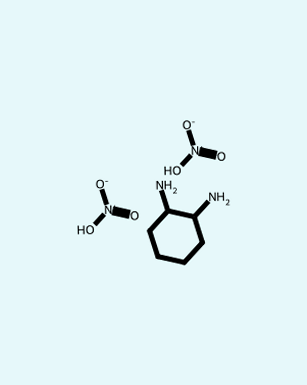 NC1CCCCC1N.O=[N+]([O-])O.O=[N+]([O-])O